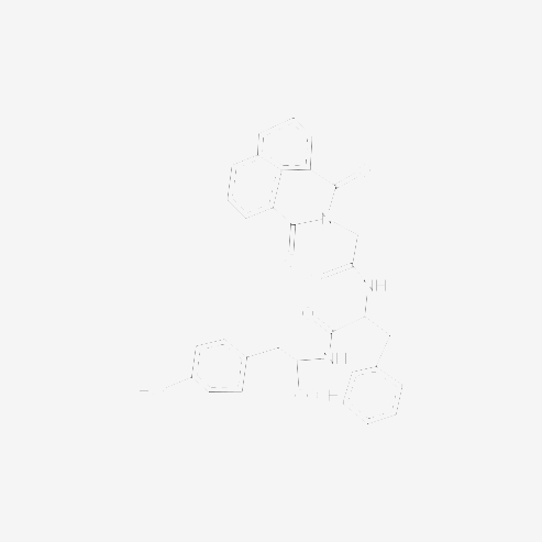 O=C(CN1C(=O)c2cccc3cccc(c23)C1=O)NC(Cc1ccccc1)C(=O)NC(Cc1ccc(O)cc1)C(=O)O